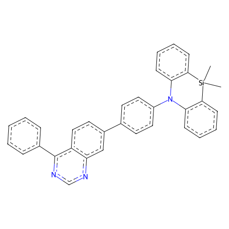 C[Si]1(C)c2ccccc2N(c2ccc(-c3ccc4c(-c5ccccc5)ncnc4c3)cc2)c2ccccc21